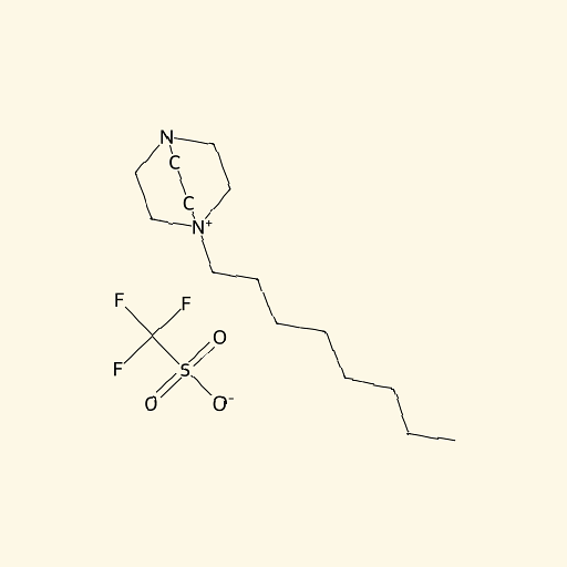 CCCCCCCC[N+]12CCN(CC1)CC2.O=S(=O)([O-])C(F)(F)F